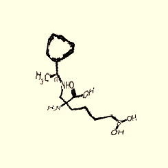 C[C@H](NCC(N)(CCCCB(O)O)C(=O)O)c1ccccc1